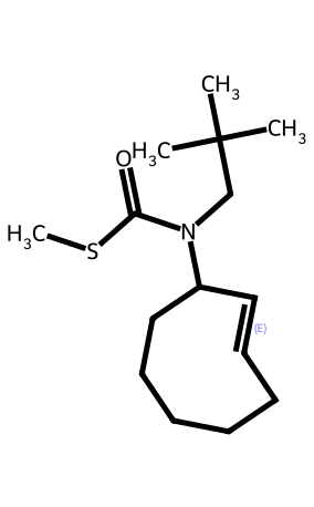 CSC(=O)N(CC(C)(C)C)C1/C=C/CCCCC1